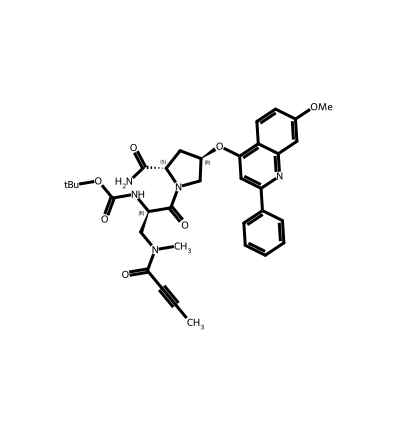 CC#CC(=O)N(C)C[C@@H](NC(=O)OC(C)(C)C)C(=O)N1C[C@H](Oc2cc(-c3ccccc3)nc3cc(OC)ccc23)C[C@H]1C(N)=O